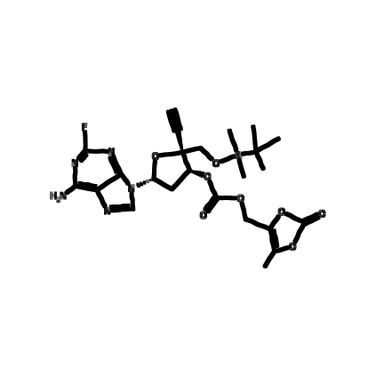 C#C[C@]1(CO[Si](C)(C)C(C)(C)C)O[C@@H](n2cnc3c(N)nc(F)nc32)C[C@@H]1OC(=O)OCc1oc(=O)oc1C